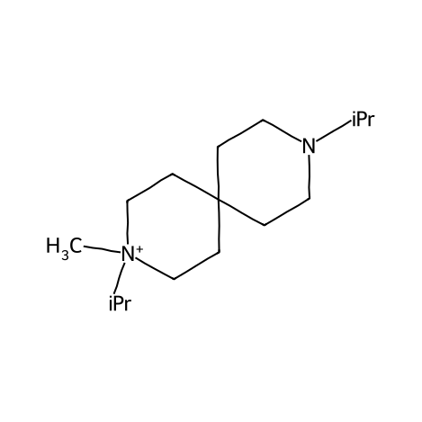 CC(C)N1CCC2(CC1)CC[N+](C)(C(C)C)CC2